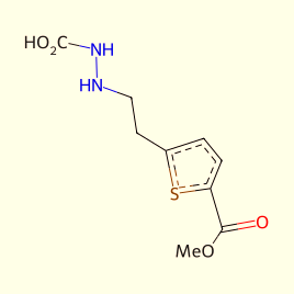 COC(=O)c1ccc(CCNNC(=O)O)s1